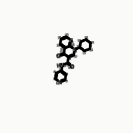 O=C(Nc1ccncc1)c1cn(C2CCCCC2)c2ncccc2c1=O